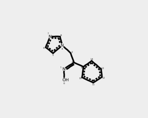 O/N=C(/Cn1ccnc1)c1ccccc1